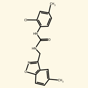 Cc1ccc(NC(=O)NCc2noc3ccc(C)cc23)c(Cl)c1